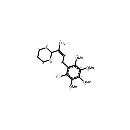 COc1c(C)c(C/C=C(/C)C2SCCCS2)c(OC)c(OC)c1OC